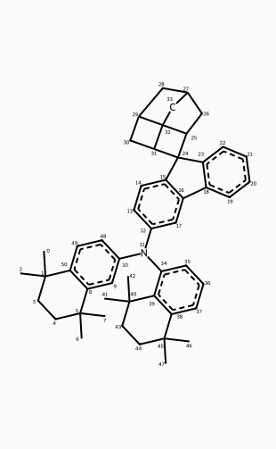 CC1(C)CCC(C)(C)c2cc(N(c3ccc4c(c3)-c3ccccc3C43C4CC5CC6CC3C64C5)c3cccc4c3C(C)(C)CCC4(C)C)ccc21